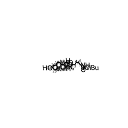 CC1=C(CC[C@H](C)CNC(=O)OCC(C)C)O[C@H]2CC3[C@@H]4CCC5C[C@@H](O)CC[C@]5(C)C4CC[C@]3(C)[C@@H]12